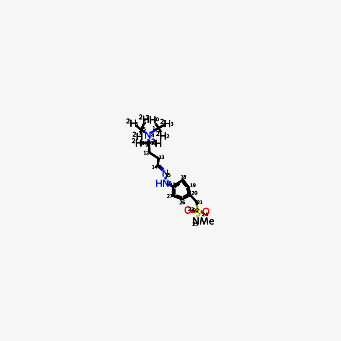 [2H]C([2H])([2H])N(C([2H])([2H])[2H])C([2H])([2H])CC/C=N/Nc1ccc(CS(=O)(=O)NC)cc1